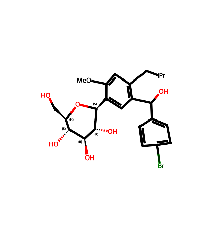 COc1cc(CC(C)C)c(C(O)c2ccc(Br)cc2)cc1[C@@H]1O[C@H](CO)[C@@H](O)[C@H](O)[C@H]1O